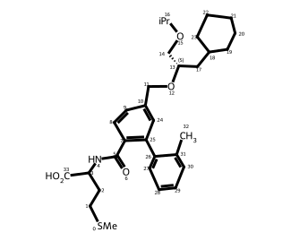 CSCCC(NC(=O)c1ccc(CO[C@H](COC(C)C)CC2CCCCC2)cc1-c1ccccc1C)C(=O)O